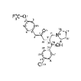 O=C(Cc1ccc(OC(F)(F)F)cc1)C[C@H](CN1CCCC1)[C@H](O)c1ccc(Cl)cc1